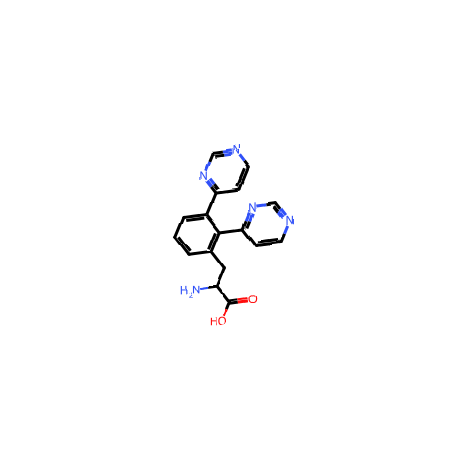 NC(Cc1cccc(-c2ccncn2)c1-c1ccncn1)C(=O)O